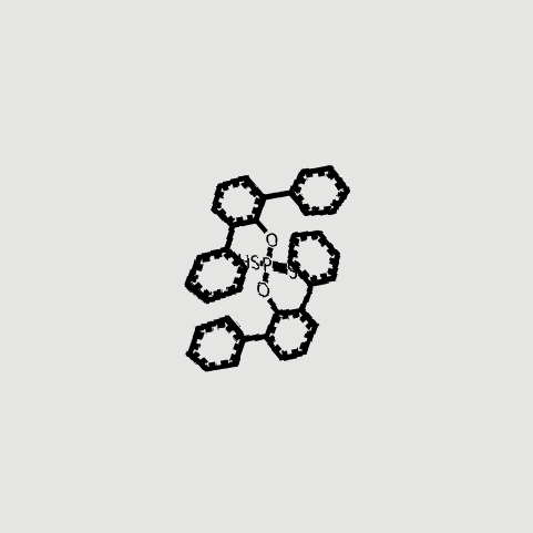 S=P(S)(Oc1c(-c2ccccc2)cccc1-c1ccccc1)Oc1c(-c2ccccc2)cccc1-c1ccccc1